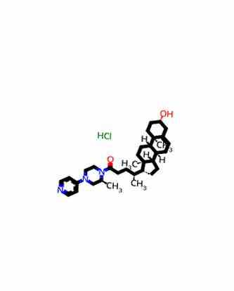 C[C@H](CCC(=O)N1CCN(c2ccncc2)C[C@@H]1C)[C@H]1CC[C@H]2[C@@H]3CC=C4C[C@@H](O)CC[C@]4(C)[C@H]3CC[C@]12C.Cl